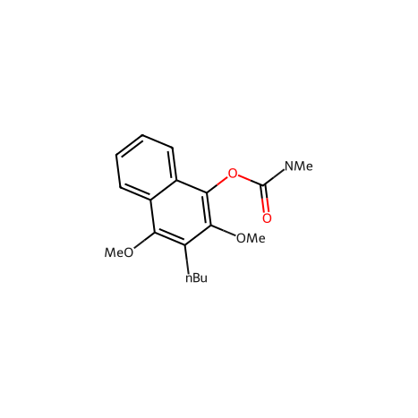 CCCCc1c(OC)c(OC(=O)NC)c2ccccc2c1OC